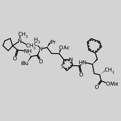 CC[C@H](C)[C@H](NC(=O)C1(N(C)C)CCCC1)C(=O)N(C)[C@H](C[C@@H](OC(C)=O)c1nc(C(=O)N[C@@H](Cc2ccccc2)C[C@H](C)C(=O)OC)cs1)C(C)C